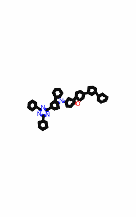 c1ccc(-c2cccc(-c3ccc4c(c3)oc3ccc(-n5c6ccccc6c6cc(-c7nc(-c8ccccc8)nc(-c8ccccc8)n7)ccc65)cc34)c2)cc1